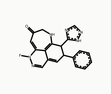 O=C1C=C2C3=C(NC1)C(c1ncn[nH]1)C(c1ccccc1)C=C3C=NN2F